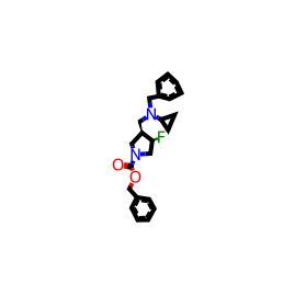 O=C(OCc1ccccc1)N1C[C@@H](CN(Cc2ccccc2)C2CC2)[C@@H](F)C1